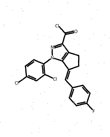 O=C(Cl)c1nn(-c2ccc(Cl)cc2Cl)c2c1CCC2=Cc1ccc(F)cc1